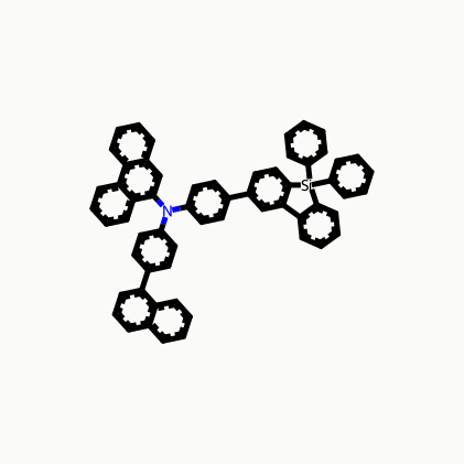 c1ccc([Si]2(c3ccccc3)c3ccccc3-c3cc(-c4ccc(N(c5ccc(-c6cccc7ccccc67)cc5)c5cc6ccccc6c6ccccc56)cc4)ccc32)cc1